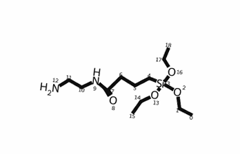 CCO[Si](CCCC(=O)NCCN)(OCC)OCC